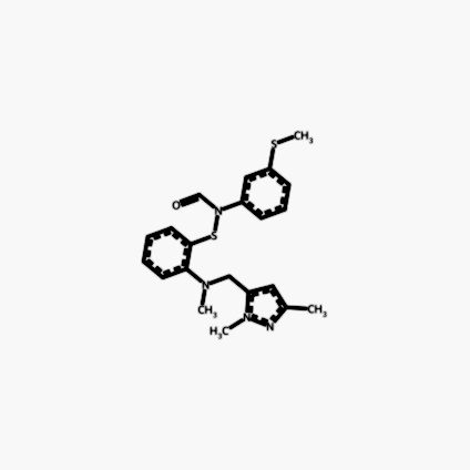 CSc1cccc(N(C=O)Sc2ccccc2N(C)Cc2cc(C)nn2C)c1